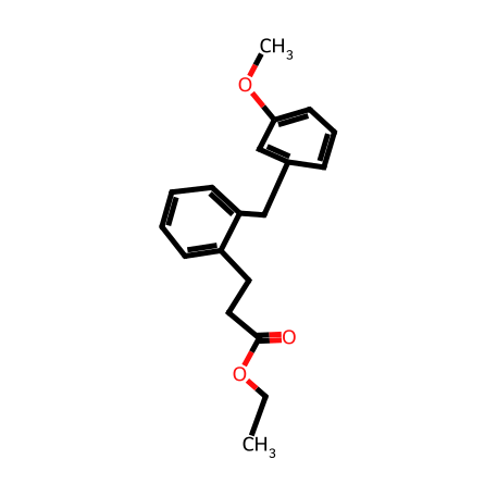 CCOC(=O)CCc1ccccc1Cc1cccc(OC)c1